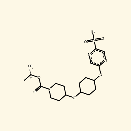 CCS(=O)(=O)c1cnc(OC2CCC(OC3CCN(C(=O)O[C@H](C)C(F)(F)F)CC3)CC2)cn1